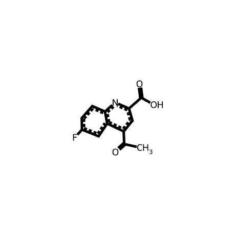 CC(=O)c1cc(C(=O)O)nc2ccc(F)cc12